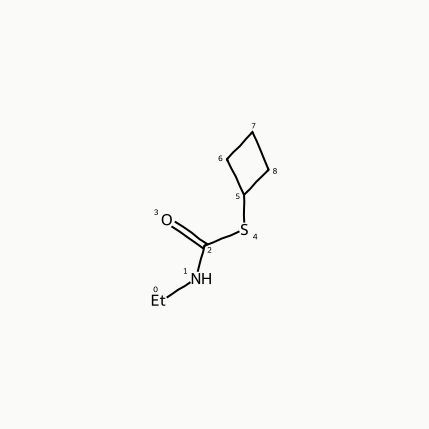 CCNC(=O)SC1CCC1